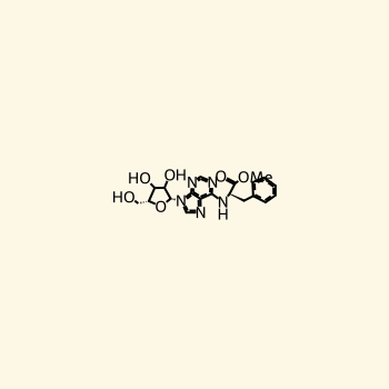 COC(=O)[C@@H](Cc1ccccc1)Nc1ncnc2c1ncn2[C@@H]1O[C@H](CO)C(O)C1O